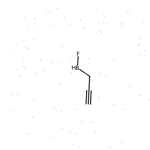 C#CCBF